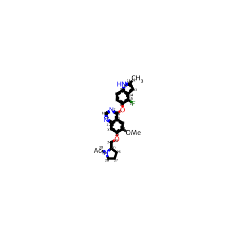 COc1cc2c(Oc3ccc4[nH]c(C)cc4c3F)ncnc2cc1OCC1CCCN1C(C)=O